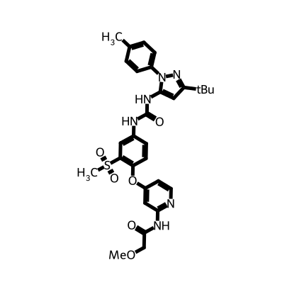 COCC(=O)Nc1cc(Oc2ccc(NC(=O)Nc3cc(C(C)(C)C)nn3-c3ccc(C)cc3)cc2S(C)(=O)=O)ccn1